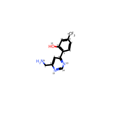 NCc1cc(-c2ccc(C(F)(F)F)cc2O)ncn1